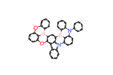 c1ccc(N2c3ccccc3B3c4c2cccc4-n2c4ccccc4c4c5c(cc3c42)B2c3ccccc3Oc3cccc(c32)O5)cc1